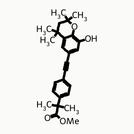 COC(=O)C(C)(C)c1ccc(C#Cc2cc(O)c3c(c2)C(C)(C)CC(C)(C)O3)cc1